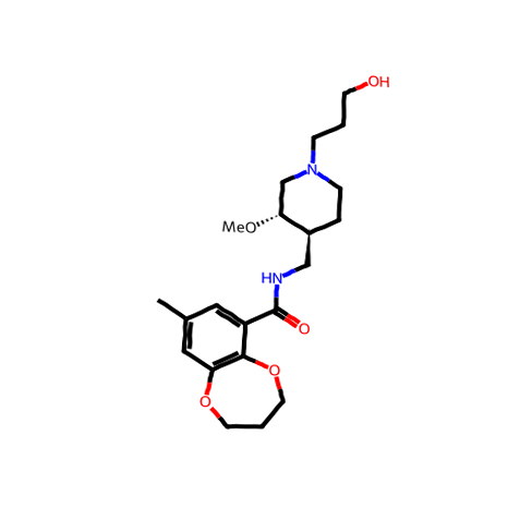 CO[C@@H]1CN(CCCO)CC[C@H]1CNC(=O)c1cc(C)cc2c1OCCCO2